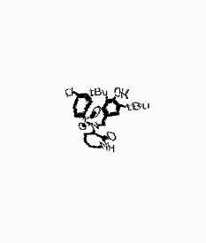 CC(C)(C)c1cc(CN(C2CCCCNC2=O)S(=O)(=O)c2ccc(Cl)cc2)cc(C(C)(C)C)c1O